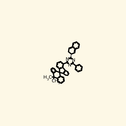 CC1(C)c2ccccc2C2(C3=C(C=CCC3)c3c(-c4nc(-c5ccccc5)nc([C@@H]5C=c6ccccc6=CC5)n4)cccc32)c2ccccc21